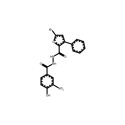 O=C(NNC(=O)c1oc(Br)cc1-c1ccccc1)c1ccc(O)c([N+](=O)[O-])c1